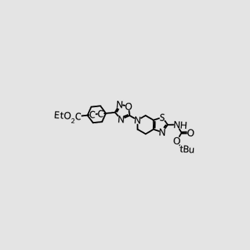 CCOC(=O)C12CCC(c3noc(N4CCc5nc(NC(=O)OC(C)(C)C)sc5C4)n3)(CC1)CC2